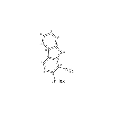 CCCCCCc1ccc2c(sc3ccccc32)c1N